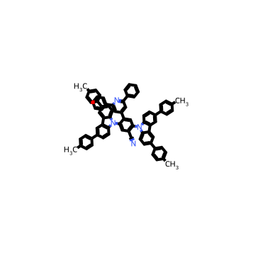 Cc1ccc(-c2ccc3c(c2)c2cc(-c4ccc(C)cc4)ccc2n3-c2cc(-c3cc(-c4ccccc4)nc(-c4ccccc4)c3)c(-n3c4ccc(-c5ccc(C)cc5)cc4c4cc(-c5ccc(C)cc5)ccc43)cc2C#N)cc1